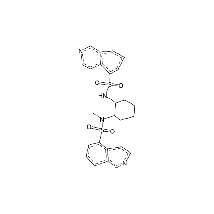 CN(C1CCCCC1NS(=O)(=O)c1cccc2cnccc12)S(=O)(=O)c1cccc2cnccc12